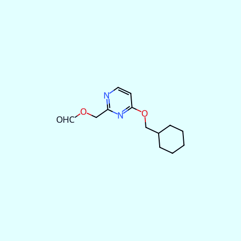 O=COCc1nccc(OCC2CCCCC2)n1